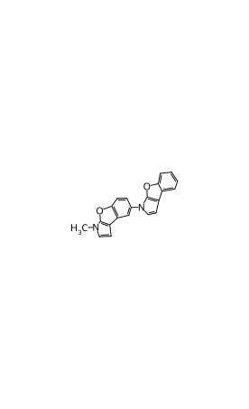 Cn1ccc2c3cc(-n4ccc5c6ccccc6oc54)ccc3oc21